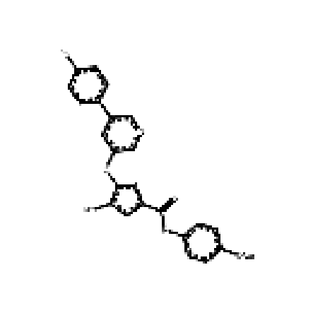 COc1ccc(NC(=S)c2cc(C#N)c(Oc3cncc(-c4ccc(C(C)C)cc4)c3)s2)cc1